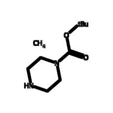 C.CC(C)(C)OC(=O)N1CCNCC1